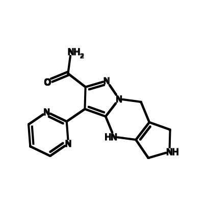 NC(=O)c1nn2c(c1-c1ncccn1)NC1=C(CNC1)C2